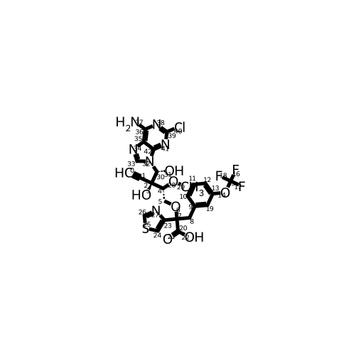 C#C[C@@](O)([C@@H](COC(Cc1cccc(OC(F)(F)F)c1)(C(=O)O)c1cscn1)OC)[C@@H](O)n1cnc2c(N)nc(Cl)nc21